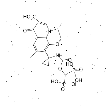 Cc1cc2c(=O)c(C(=O)O)cn3c2c(c1C1(NC(=O)OC(P(=O)(O)O)P(=O)(O)O)CC1)OC[C@H]3C